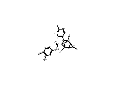 Cc1ncc([C@@H]2[C@@H](C(=O)Nc3ccc(Cl)c(Cl)c3)[C@@H]3O[C@H]2C2C(C)C23)cn1